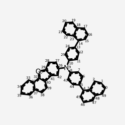 c1ccc2c(-c3ccc(N(c4ccc(-c5cccc6ccccc56)cc4)c4ccc5oc6c7ccccc7ccc6c5c4)cc3)cccc2c1